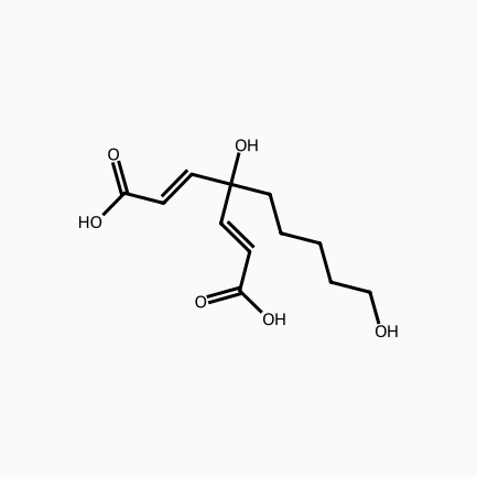 O=C(O)C=CC(O)(C=CC(=O)O)CCCCCO